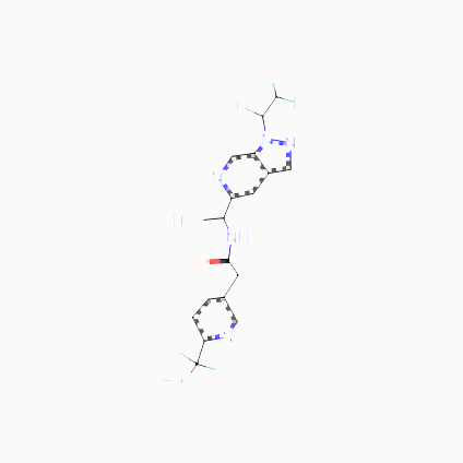 CC(NC(=O)Cc1ccc(C(C)(F)F)nc1)c1cc2cnn(C(F)C(F)F)c2cn1